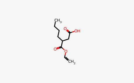 C=COC(=O)C(CCCC)CC(=O)O